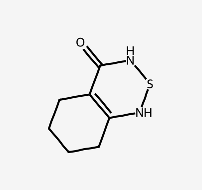 O=C1NSNC2=C1CCCC2